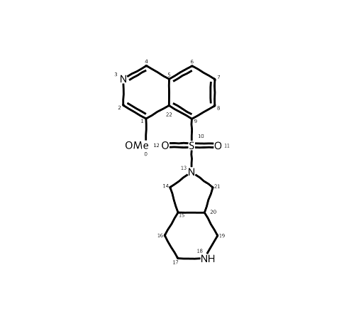 COc1cncc2cccc(S(=O)(=O)N3CC4CCNCC4C3)c12